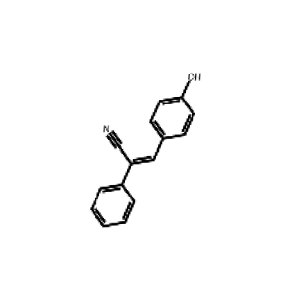 N#CC(=Cc1ccc(O)cc1)c1ccccc1